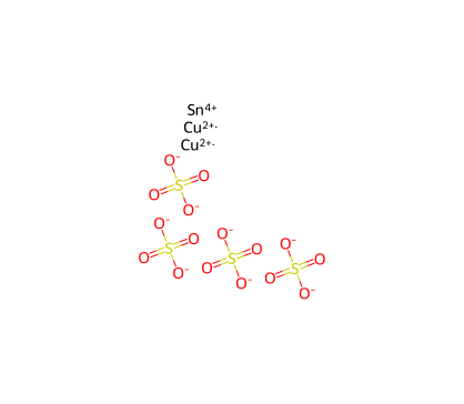 O=S(=O)([O-])[O-].O=S(=O)([O-])[O-].O=S(=O)([O-])[O-].O=S(=O)([O-])[O-].[Cu+2].[Cu+2].[Sn+4]